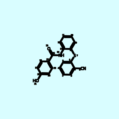 N#Cc1ccccc1Sc1ccccc1NC(=O)c1ccc(O)cc1